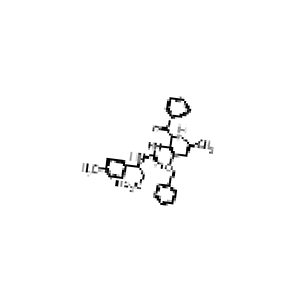 CC1=CC(OCc2ccccc2)=C(NC(=O)N[C@@H](CC(=O)O)c2ccc(C)cc2)C(C(=O)c2ccccc2)N1